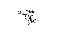 COc1cc(C(=O)N2CCC3(CC3)C[C@H]2CO)c([N+](=O)[O-])cc1OCc1ccccc1